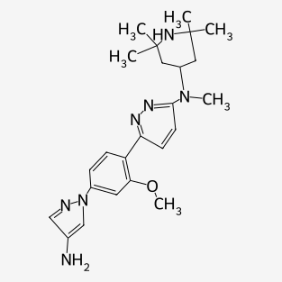 COc1cc(-n2cc(N)cn2)ccc1-c1ccc(N(C)C2CC(C)(C)NC(C)(C)C2)nn1